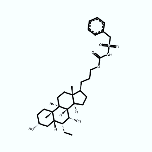 CC[C@H]1[C@@H](O)[C@@H]2[C@H](CC[C@]3(C)[C@@H](CCCOC(=O)NS(=O)(=O)Cc4ccccc4)CC[C@@H]23)[C@@]2(C)CC[C@@H](O)C[C@@H]12